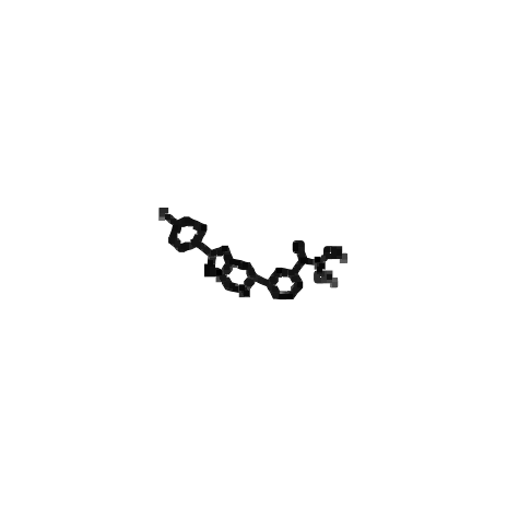 CN(C)C(=O)c1cccc(-c2cc3cc(-c4ccc(F)cc4)nn3cn2)c1